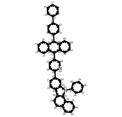 c1ccc(-c2ccc(-c3c4ccccc4c(-c4ccc(-c5ccc6c7ccc8ccccc8c7n(-c7ccccc7)c6c5)nc4)c4ccccc34)cc2)cc1